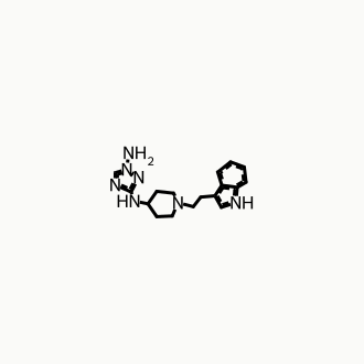 Nn1cnc(NC2CCN(CCc3c[nH]c4ccccc34)CC2)n1